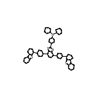 c1ccc(N(c2ccccc2)c2ccc(-c3nc4c(-c5ccc(-c6cccc7c6sc6ccccc67)cc5)ccc(-c5ccc(-c6cccc7c6sc6ccccc67)cc5)c4s3)cc2)cc1